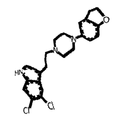 Clc1cc2[nH]cc(CCN3CCN(c4ccc5c(c4)CCO5)CC3)c2cc1Cl